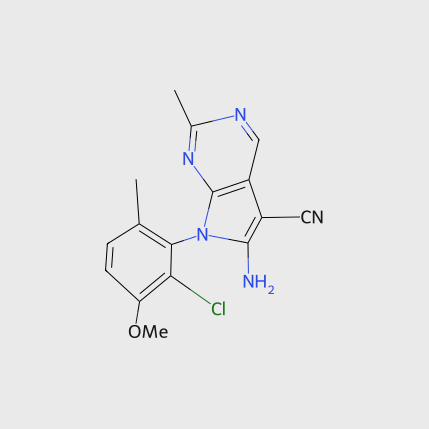 COc1ccc(C)c(-n2c(N)c(C#N)c3cnc(C)nc32)c1Cl